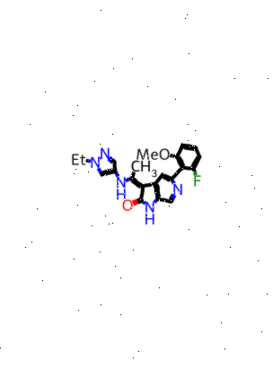 CCn1cc(N/C(C)=C2\C(=O)Nc3cnc(-c4c(F)cccc4OC)cc32)cn1